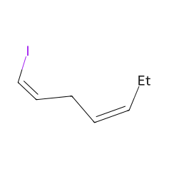 CC/C=C\C/C=C\I